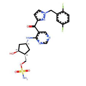 NS(=O)(=O)OC[C@H]1C[C@@H](Nc2ncncc2C(=O)c2ccn(Cc3cc(F)ccc3F)n2)C[C@@H]1O